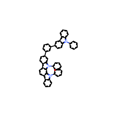 c1ccc(-n2c3ccccc3c3cc(-c4cccc(-c5ccc6c7ccc8c9ccccc9n(-c9ccccc9)c8c7n(-c7ccccc7)c6c5)c4)ccc32)cc1